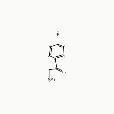 CNCC(=O)c1ccc(F)cc1